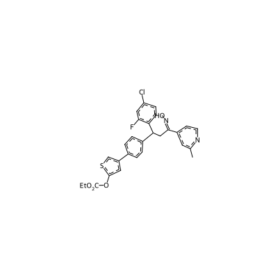 CCOC(=O)Oc1cc(-c2ccc(C(C/C(=N\O)c3ccnc(C)c3)c3ccc(Cl)cc3F)cc2)cs1